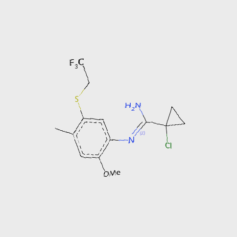 COc1cc(C)c(SCC(F)(F)F)cc1/N=C(\N)C1(Cl)CC1